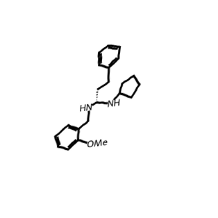 COc1ccccc1CN[C@H](CCc1ccccc1)NC1CCCC1